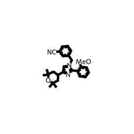 COc1ccccc1-c1nc(C2CC(C)(C)OC(C)(C)C2)cn1Cc1cccc(C#N)c1